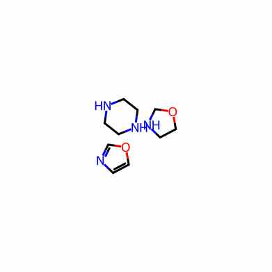 C1CNCCN1.C1COCN1.c1cocn1